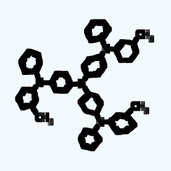 CC1=CCCC(N(c2ccccc2)c2ccc(N(C3=CCC(N(c4ccccc4)c4cccc(C)c4)C=C3)c3ccc(N(c4ccccc4)c4cccc(C)c4)cc3)cc2)=C1